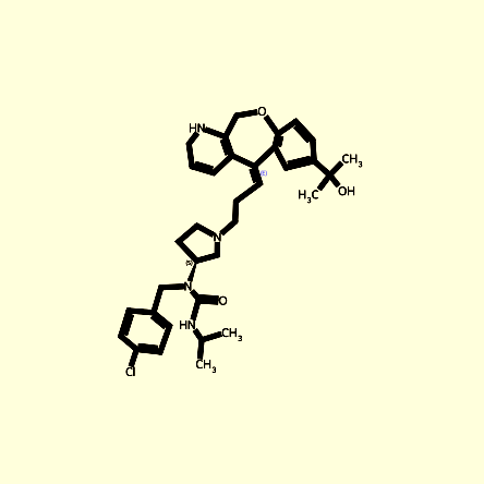 CC(C)NC(=O)N(Cc1ccc(Cl)cc1)[C@H]1CCN(CC/C=C2\C3=C(COc4ccc(C(C)(C)O)cc42)NCC=C3)C1